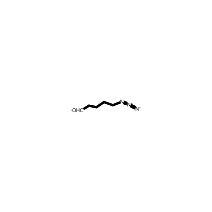 [N-]=[N+]=NCCCC[C]=O